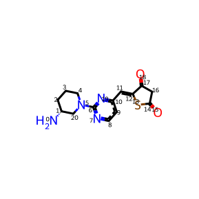 N[C@@H]1CCCN(c2nccc(/C=C3\SC(=O)CC3=O)n2)C1